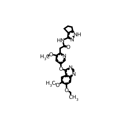 CCOc1cc2ncnc(Oc3cnc(CC(=O)Nc4n[nH]c5c4CCC5)c(OC)c3)c2cc1OC